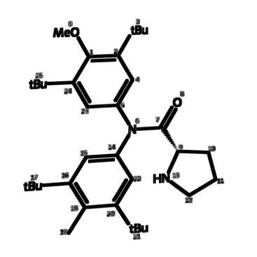 COc1c(C(C)(C)C)cc(N(C(=O)[C@@H]2CCCN2)c2cc(C(C)(C)C)c(C)c(C(C)(C)C)c2)cc1C(C)(C)C